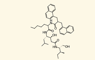 CCCCCC(NC(=O)C(Cc1cccc2ccccc12)Cc1cccc2ccccc12)C(=O)N[C@@H](CC(C)C)[C@@H](O)CC(=O)N[C@H](CO)[C@@H](C)CC